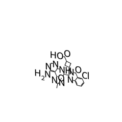 Cc1noc(-c2c(N)ncnc2NC(C)c2nc3cccc(Cl)c3c(=O)n2C2CC(C(=O)O)C2)n1